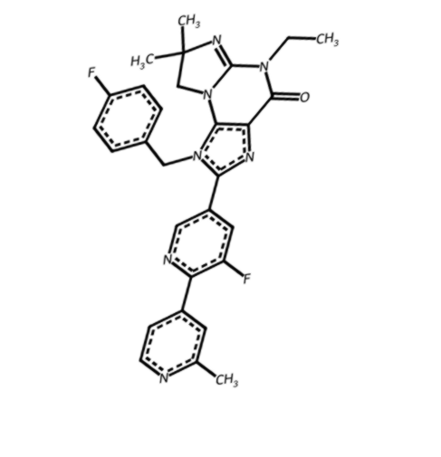 CCN1C(=O)c2nc(-c3cnc(-c4ccnc(C)c4)c(F)c3)n(Cc3ccc(F)cc3)c2N2CC(C)(C)N=C12